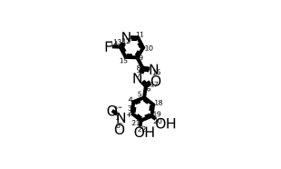 O=[N+]([O-])c1cc(-c2nc(-c3ccnc(F)c3)no2)cc(O)c1O